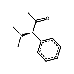 CC(=O)[C@@H](c1ccccc1)N(C)C